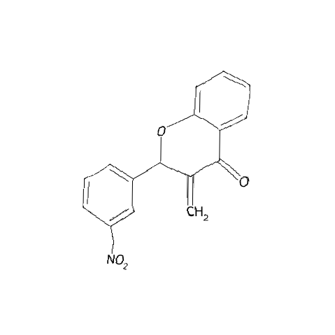 C=C1C(=O)c2ccccc2OC1c1cccc([N+](=O)[O-])c1